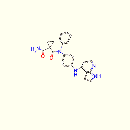 NC(=O)C1(C(=O)N(c2ccccc2)c2ccc(Nc3ccnc4[nH]ccc34)cc2)CC1